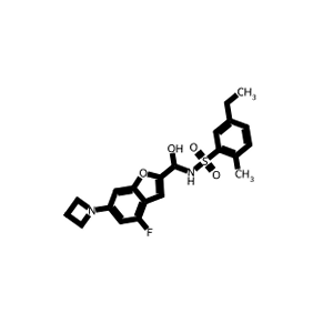 CCc1ccc(C)c(S(=O)(=O)NC(O)c2cc3c(F)cc(N4CCC4)cc3o2)c1